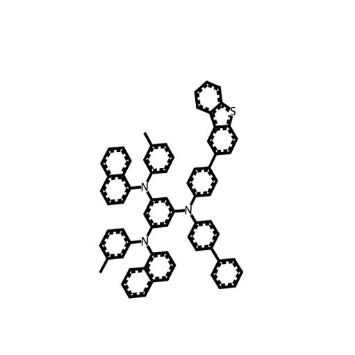 Cc1cccc(N(c2cc(N(c3ccc(-c4ccccc4)cc3)c3ccc(-c4ccc5sc6ccccc6c5c4)cc3)cc(N(c3cccc(C)c3)c3cccc4ccccc34)c2)c2cccc3ccccc23)c1